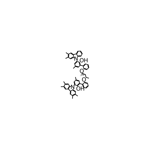 Cc1cc(-c2ccccc2OC(C)C[C@H](C)Oc2ccccc2-c2cc(C)cc(-n3c4ccccc4c4cc(C)c(C)cc43)c2O)c(O)c(-n2c3cc(C)c(C)cc3c3cc(C)c(C)cc32)c1